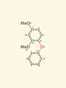 COc1ccc(Oc2[c]cccc2)c(OC)c1